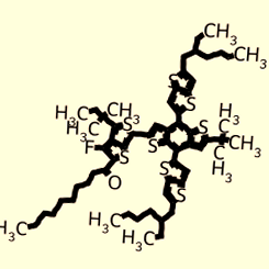 CCCCCCCCCC(=O)c1sc2c(-c3cc4c(-c5cc6sc(CC(CC)CCCC)cc6s5)c5sc(C(C)(C)C)cc5c(-c5cc6sc(CC(CC)CCCC)cc6s5)c4s3)sc(C(C)(C)CC)c2c1F